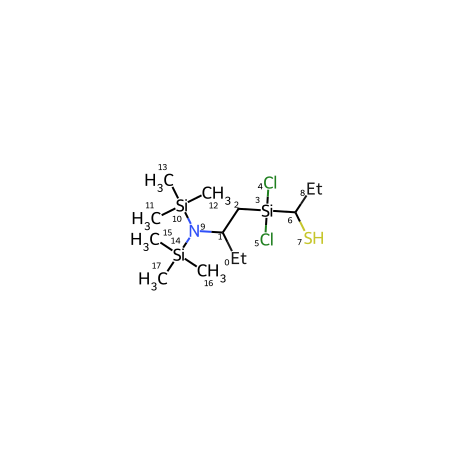 CCC(C[Si](Cl)(Cl)C(S)CC)N([Si](C)(C)C)[Si](C)(C)C